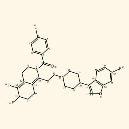 O=C(c1ccc(F)cc1)N1CCC2=C(F)C(F)CCC2=C1CCN1CCC(c2noc3cc(F)ccc23)CC1